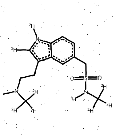 [2H]c1c(CCN(C)C([2H])([2H])[2H])c2cc(CS(=O)(=O)N([2H])C([2H])([2H])[2H])ccc2n1[2H]